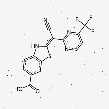 N#CC(=C1Nc2ccc(C(=O)O)cc2S1)c1nccc(C(F)(F)F)n1